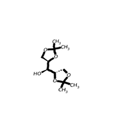 CC1(C)OC[C@@H]([C@@H](O)[C@H]2COC(C)(C)O2)O1